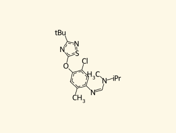 Cc1cc(Oc2nc(C(C)(C)C)ns2)c(Cl)cc1/N=C\N(C)C(C)C